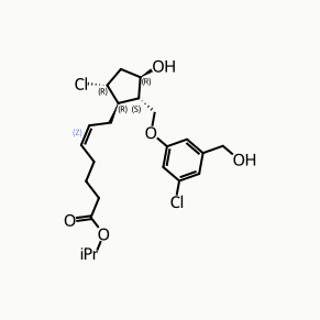 CC(C)OC(=O)CCC/C=C\C[C@@H]1[C@@H](COc2cc(Cl)cc(CO)c2)[C@H](O)C[C@H]1Cl